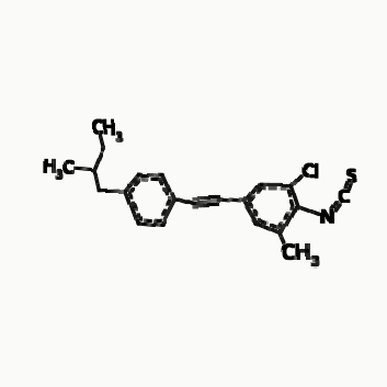 CCC(C)Cc1ccc(C#Cc2cc(C)c(N=C=S)c(Cl)c2)cc1